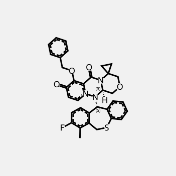 Cc1c(F)ccc2c1CSc1ccccc1[C@H]2N1[C@@H]2COCC3(CC3)N2C(=O)c2c(OCc3ccccc3)c(=O)ccn21